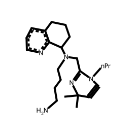 CCCN1C#CC(C)(C)N=C1CN(CCCCN)C1CCCc2cccnc21